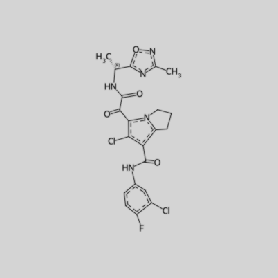 Cc1noc([C@@H](C)NC(=O)C(=O)c2c(Cl)c(C(=O)Nc3ccc(F)c(Cl)c3)c3n2CCC3)n1